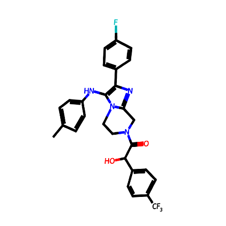 Cc1ccc(Nc2c(-c3ccc(F)cc3)nc3n2CCN(C(=O)C(O)c2ccc(C(F)(F)F)cc2)C3)cc1